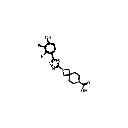 O=C(O)N1CCC2(CC1)CN(c1nnc(-c3ccc(O)c(F)c3F)s1)C2